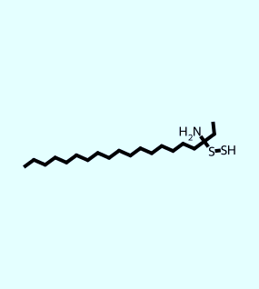 CCCCCCCCCCCCCCCCCC(N)(CC)SS